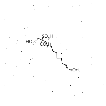 CCCCCCCCC=CCCCCCCCCC(CC(=O)O)(C(=O)O)S(=O)(=O)O